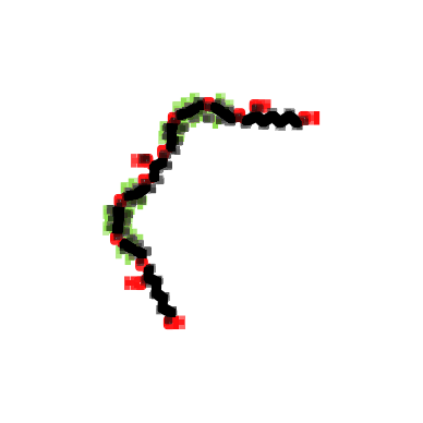 OCCCCCC(O)COCC(F)(F)C(F)(F)OC(F)(F)C(F)(F)C(F)(F)OC(F)(F)C(F)(F)COCC(O)COCC(F)(F)C(F)(F)OC(F)(F)C(F)(F)C(F)(F)OC(F)(F)C(F)(F)COCC(O)CCCCCO